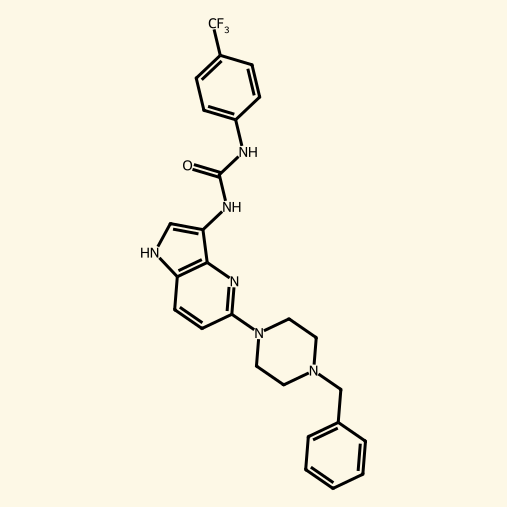 O=C(Nc1ccc(C(F)(F)F)cc1)Nc1c[nH]c2ccc(N3CCN(Cc4ccccc4)CC3)nc12